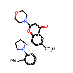 COc1ccccc1N1CCC[C@@H]1c1cc(C(=O)O)cc2c(=O)cc(N3CCOCC3)oc12